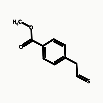 COC(=O)c1ccc(CC=S)cc1